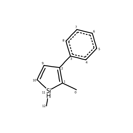 CC1=C(c2ccccc2)C=C[SiH]1C